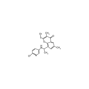 CCSc1oc2c(C(C)Nc3ccc(Cl)nc3)cc(C)cc2c(=O)c1C